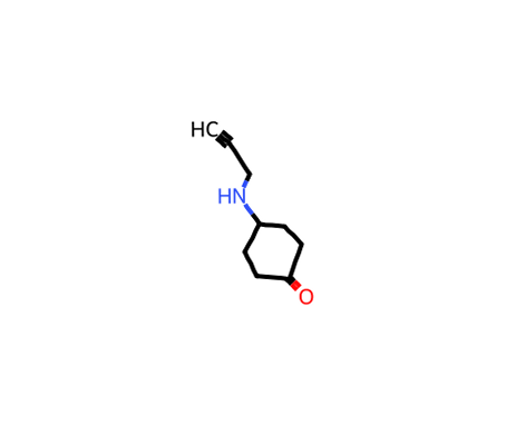 C#CCNC1CCC(=O)CC1